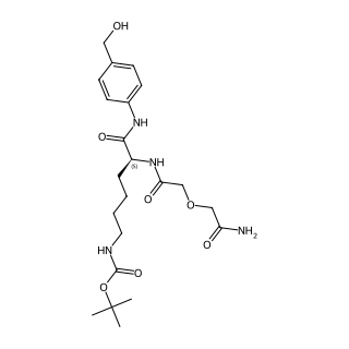 CC(C)(C)OC(=O)NCCCC[C@H](NC(=O)COCC(N)=O)C(=O)Nc1ccc(CO)cc1